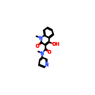 CN(C(=O)c1c(O)c2ccccc2n(C)c1=O)c1cccnc1